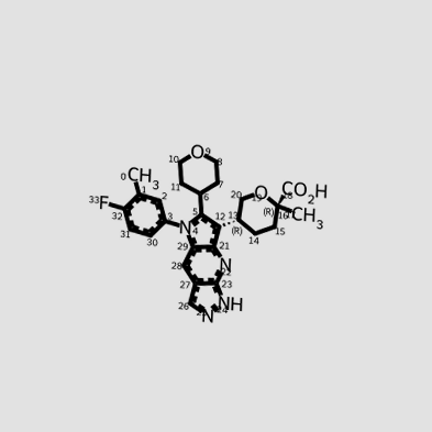 Cc1cc(-n2c(C3CCOCC3)c([C@H]3CC[C@](C)(C(=O)O)OC3)c3nc4[nH]ncc4cc32)ccc1F